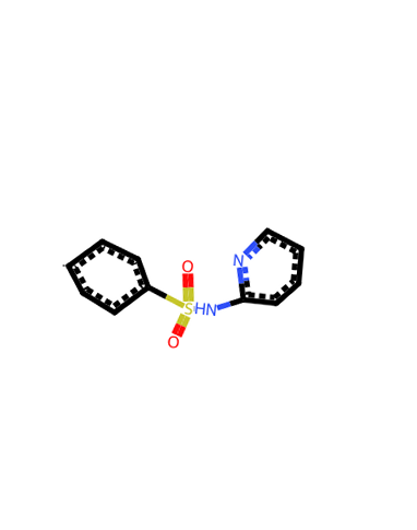 O=S(=O)(Nc1ccccn1)c1cc[c]cc1